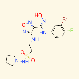 O=S(=O)(CCNc1nonc1C(=NO)Nc1ccc(F)c(Br)c1)NN1CCCC1